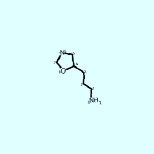 NCCCC1C[N]CO1